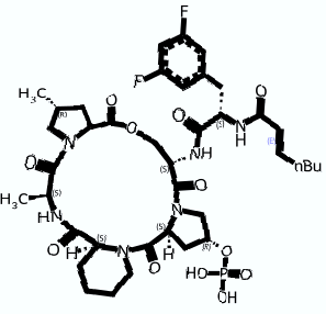 CCCC/C=C/C(=O)N[C@@H](Cc1cc(F)cc(F)c1)C(=O)N[C@H]1COC(=O)C2C[C@@H](C)CN2C(=O)[C@H](C)NC(=O)[C@@H]2CCCCN2C(=O)[C@@H]2C[C@@H](OP(=O)(O)O)CN2C1=O